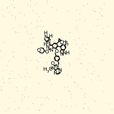 Cc1c(F)cc2[nH]ncc2c1-c1c(C2CC2)cc2c(N3C[C@@H]4C[C@H]3CN4)nc(OC3CCOCC3)nc2c1OCc1ccc(Cn2c(=O)n(C)c3nccnc32)cc1